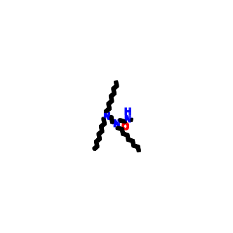 CCCCCCCCCN(CCCCCCCCC)CCN(CCCCCCCCC)CC(=O)NC